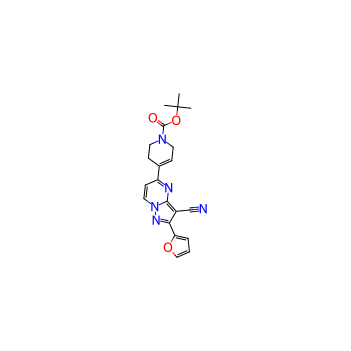 CC(C)(C)OC(=O)N1CC=C(c2ccn3nc(-c4ccco4)c(C#N)c3n2)CC1